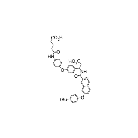 CC(C)(C)c1ccc(Oc2ccc3cnc(C(=O)NC(CC(=O)O)c4ccc(Oc5ccc(NC(=O)CCCC(=O)O)cc5)cc4)cc3c2)cc1